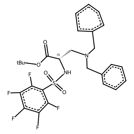 CC(C)(C)OC(=O)[C@H](CN(Cc1ccccc1)Cc1ccccc1)NS(=O)(=O)c1c(F)c(F)c(F)c(F)c1F